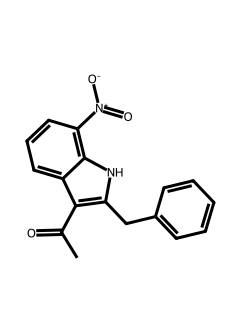 CC(=O)c1c(Cc2ccccc2)[nH]c2c([N+](=O)[O-])cccc12